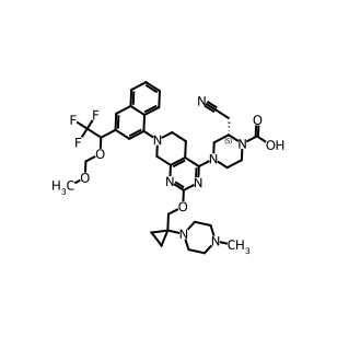 COCOC(c1cc(N2CCc3c(nc(OCC4(N5CCN(C)CC5)CC4)nc3N3CCN(C(=O)O)[C@@H](CC#N)C3)C2)c2ccccc2c1)C(F)(F)F